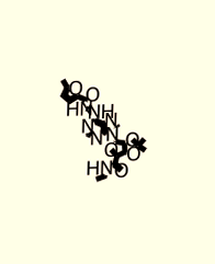 CCNC(=O)C1OC(n2cnc3c(NNC(=O)c4ccc(C)o4)ncnc32)C2OC(C)(C)OC12